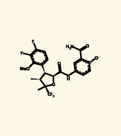 COc1c([C@@H]2[C@@H](C(=O)Nc3cc[n+]([O-])c(C(N)=O)c3)O[C@@](C)(C(F)(F)F)[C@@H]2C)ccc(F)c1F